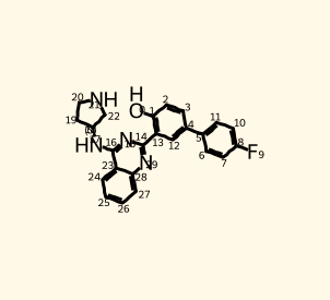 Oc1ccc(-c2ccc(F)cc2)cc1-c1nc(N[C@H]2CCNC2)c2ccccc2n1